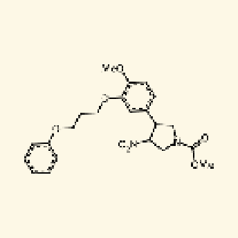 COC(=O)N1CC(c2ccc(OC)c(OCCCOc3ccccc3)c2)C([N+](=O)[O-])C1